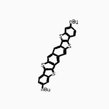 CCCCc1ccc2c(c1)sc1c3cc4cc5sc6c7ccc(CCCC)cc7sc6c5cc4cc3sc21